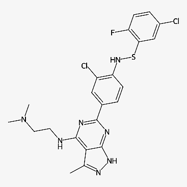 Cc1n[nH]c2nc(-c3ccc(NSc4cc(Cl)ccc4F)c(Cl)c3)nc(NCCN(C)C)c12